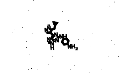 Cn1ncc(-c2nc(N[C@H]3CC[C@H](N)CC3)nc3[nH]cnc23)c1CC1CC1